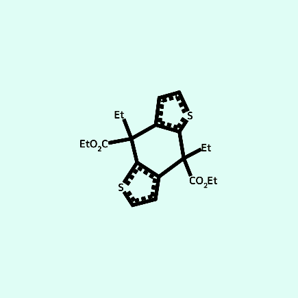 CCOC(=O)C1(CC)c2ccsc2C(CC)(C(=O)OCC)c2ccsc21